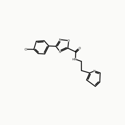 O=C(NCCc1ccccn1)c1nc(-c2ccc(Cl)cc2)no1